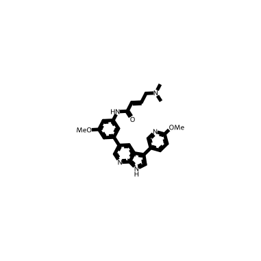 COc1cc(NC(=O)C=CCN(C)C)cc(-c2cnc3[nH]cc(-c4ccc(OC)nc4)c3c2)c1